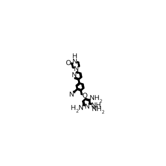 N#Cc1cc(-c2ccc(N3CCNC(=O)C3)nc2)ccc1COc1cc(N)nc(NN)c1N